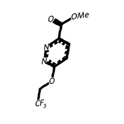 COC(=O)c1ccc(OCC(F)(F)F)nn1